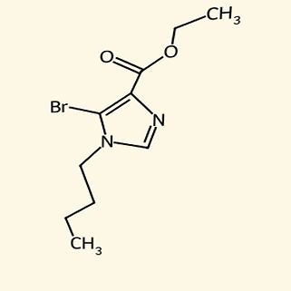 CCCCn1cnc(C(=O)OCC)c1Br